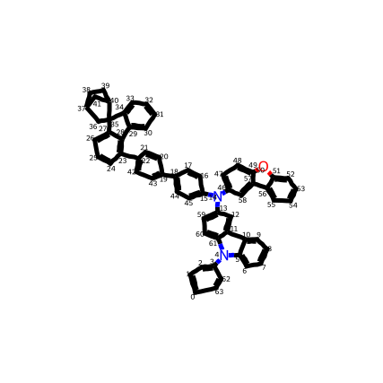 c1ccc(-n2c3ccccc3c3cc(N(c4ccc(-c5ccc(-c6cccc7c6-c6ccccc6C76CC7CCC6C7)cc5)cc4)c4ccc5oc6ccccc6c5c4)ccc32)cc1